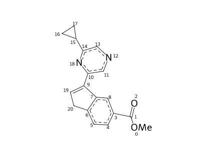 COC(=O)c1ccc2c(c1)C(c1cncc(C3CC3)n1)=CC2